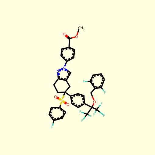 COC(=O)c1ccc(-n2cc3c(n2)CCC(c2ccc(C(OCc4c(F)cccc4F)(C(F)(F)F)C(F)(F)F)cc2)(S(=O)(=O)c2ccc(F)cc2)C3)cc1